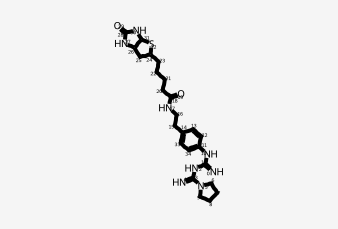 N=C(NC(=N)N1CCCC1)Nc1ccc(CCNC(=O)CCCCC2CC3NC(=O)NC3S2)cc1